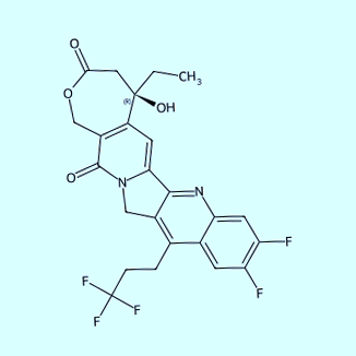 CC[C@@]1(O)CC(=O)OCc2c1cc1n(c2=O)Cc2c-1nc1cc(F)c(F)cc1c2CCC(F)(F)F